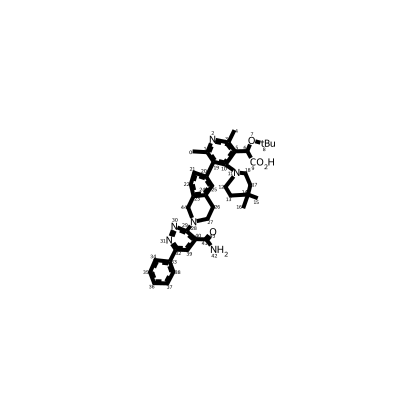 Cc1nc(C)c(C(OC(C)(C)C)C(=O)O)c(N2CCC(C)(C)CC2)c1-c1ccc2c(c1)CCN(c1nnc(-c3ccccc3)cc1C(N)=O)C2